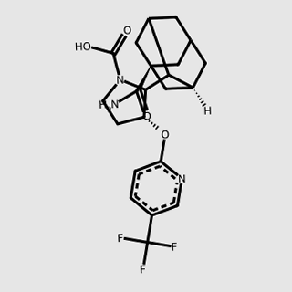 NC(=O)[C@]12CC3CC(C1)C(C1[C@H](Oc4ccc(C(F)(F)F)cn4)CCN1C(=O)O)[C@@H](C3)C2